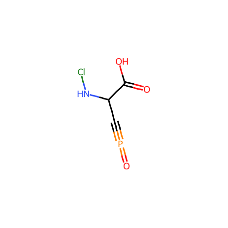 O=P#CC(NCl)C(=O)O